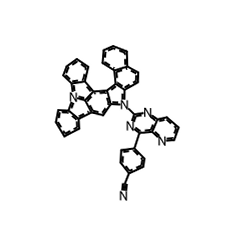 N#Cc1ccc(-c2nc(-n3c4ccc5ccccc5c4c4c5c6ccccc6n6c7ccccc7c(cc43)c56)nc3cccnc23)cc1